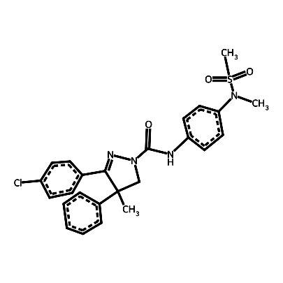 CN(c1ccc(NC(=O)N2CC(C)(c3ccccc3)C(c3ccc(Cl)cc3)=N2)cc1)S(C)(=O)=O